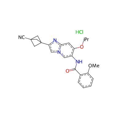 COc1ccccc1C(=O)Nc1cn2cc(C34CC(C#N)(C3)C4)nc2cc1OC(C)C.Cl